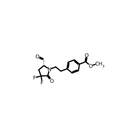 COC(=O)c1ccc(CCN2C(=O)C(F)(F)C[C@@H]2C=O)cc1